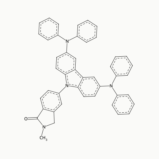 CN1Cc2cc(-n3c4ccc(N(c5ccccc5)c5ccccc5)cc4c4cc(N(c5ccccc5)c5ccccc5)ccc43)ccc2C1=O